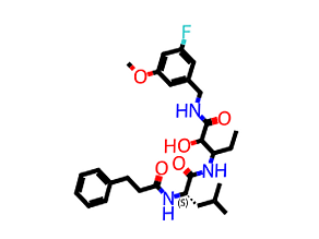 CCC(NC(=O)[C@H](CC(C)C)NC(=O)CCc1ccccc1)C(O)C(=O)NCc1cc(F)cc(OC)c1